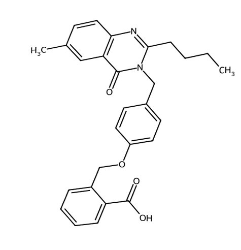 CCCCc1nc2ccc(C)cc2c(=O)n1Cc1ccc(OCc2ccccc2C(=O)O)cc1